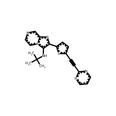 CC(C)(C)Nc1c(-c2ccc(C#Cc3ncccn3)s2)nc2cnccn12